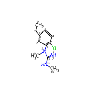 CCc1ccc(Cl)c(N(C)C(=N)NC)c1